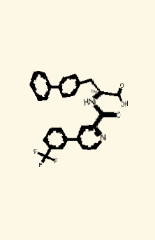 O=C(N[C@@H](Cc1ccc(-c2ccccc2)cc1)C(=O)O)c1cc(-c2cccc(C(F)(F)F)c2)ccn1